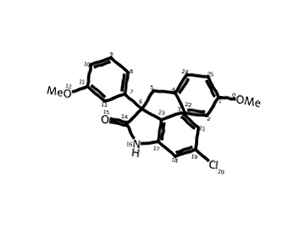 COc1ccc(CC2(c3cccc(OC)c3)C(=O)Nc3cc(Cl)ccc32)cc1